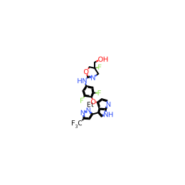 CCn1nc(C(F)(F)F)cc1-c1c[nH]c2nccc(Oc3c(F)cc(NC4=NC[C@@](F)(CO)CO4)cc3F)c12